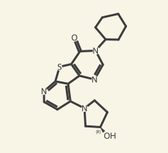 O=c1c2sc3nccc(N4CC[C@@H](O)C4)c3c2ncn1C1CCCCC1